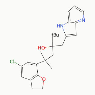 CC(C)(CC(O)(Cc1cc2ncccc2[nH]1)C(C)(C)C)c1cc(Cl)cc2c1OCC2